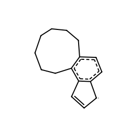 [CH]1C=Cc2c1ccc1c2CCCCCCC1